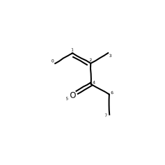 CC=C(C)C(=O)CC